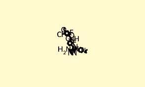 COc1cc(F)c(S(=O)(=O)Nc2cccc(-c3nn(C4CCN(C(C)C)CC4)c4ncnc(N)c34)c2F)cc1Cl